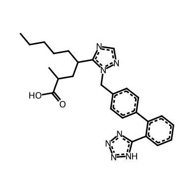 CCCCCC(CC(C)C(=O)O)c1ncnn1Cc1ccc(-c2ccccc2-c2nnn[nH]2)cc1